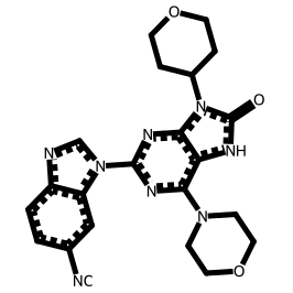 [C-]#[N+]c1ccc2ncn(-c3nc(N4CCOCC4)c4[nH]c(=O)n(C5CCOCC5)c4n3)c2c1